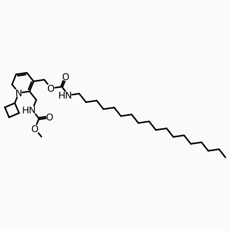 CCCCCCCCCCCCCCCCCCNC(=O)OCC1=C(CNC(=O)OC)N(C2CCC2)CC=C1